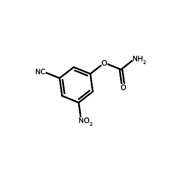 N#Cc1cc(OC(N)=O)cc([N+](=O)[O-])c1